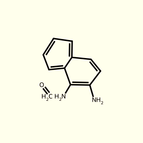 C=O.Nc1ccc2ccccc2c1N